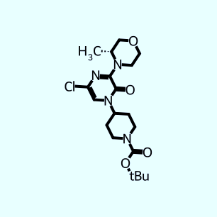 C[C@@H]1COCCN1c1nc(Cl)cn(C2CCN(C(=O)OC(C)(C)C)CC2)c1=O